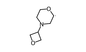 [CH]1CN(C2COC2)CCO1